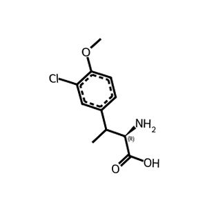 COc1ccc(C(C)[C@@H](N)C(=O)O)cc1Cl